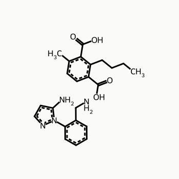 CCCCc1c(C(=O)O)ccc(C)c1C(=O)O.NCc1ccccc1-n1nccc1N